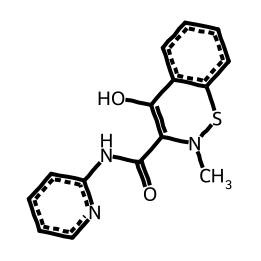 CN1Sc2ccccc2C(O)=C1C(=O)Nc1ccccn1